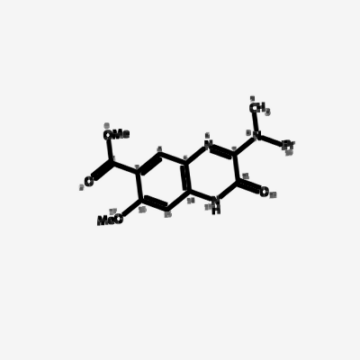 COC(=O)c1cc2nc(N(C)C(C)C)c(=O)[nH]c2cc1OC